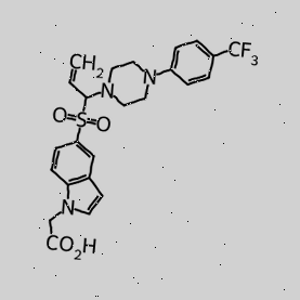 C=CC(N1CCN(c2ccc(C(F)(F)F)cc2)CC1)S(=O)(=O)c1ccc2c(ccn2CC(=O)O)c1